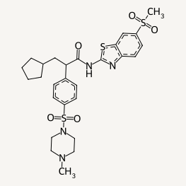 CN1CCN(S(=O)(=O)c2ccc(C(CC3CCCC3)C(=O)Nc3nc4ccc(S(C)(=O)=O)cc4s3)cc2)CC1